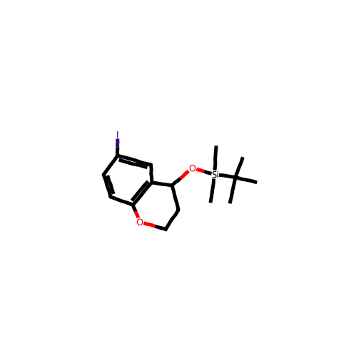 CC(C)(C)[Si](C)(C)OC1CCOc2ccc(I)cc21